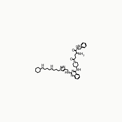 CCCCN(Cc1ccccc1)C(=O)[C@@H](N)CCC(=O)N1CCC(Nc2nc(NCc3cn(CCCNCCCNC4CCCCC4)nn3)nc3ccccc23)CC1